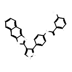 O=C(Nc1ccc(-c2n[nH]cc2-c2nc3cc4ccccc4cc3o2)cc1)c1cccc(Br)c1